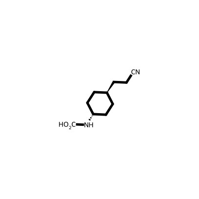 N#CCC[C@H]1CC[C@H](NC(=O)O)CC1